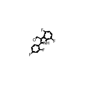 O=Cc1c(-c2ccc(F)cc2F)[nH]c2c(F)ccc(F)c12